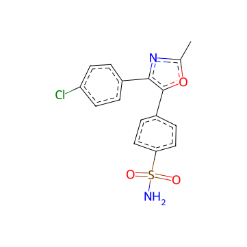 Cc1nc(-c2ccc(Cl)cc2)c(-c2ccc(S(N)(=O)=O)cc2)o1